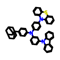 c1cc(N(c2ccc(N3c4ccccc4Sc4ccccc43)cc2)c2ccc(C34CC5CC(CC(C5)C3)C4)cc2)cc(-n2c3ccccc3c3ccccc32)c1